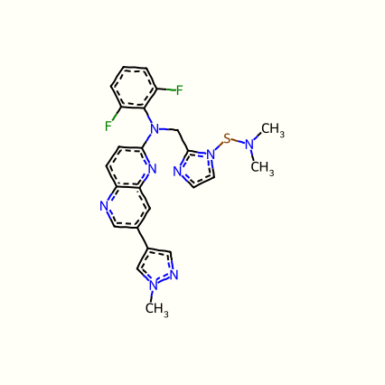 CN(C)Sn1ccnc1CN(c1ccc2ncc(-c3cnn(C)c3)cc2n1)c1c(F)cccc1F